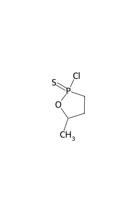 CC1CCP(=S)(Cl)O1